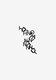 Cc1ccc(-n2cc3c(N4CCN(C)[C@H](C(=O)NCc5ccc(I)cc5)C4)ncnc3n2)cc1